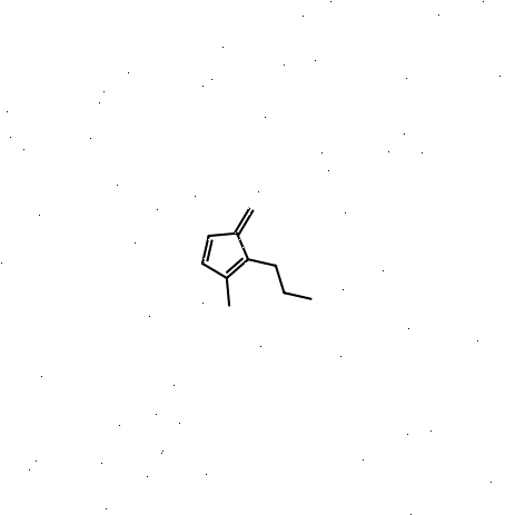 C=C1C=CC(C)=C1CCC